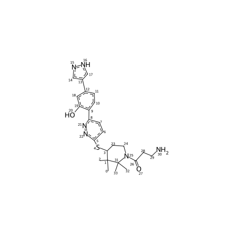 CC1(C)C(Sc2ccc(-c3ccc(-c4cn[nH]c4)cc3O)nn2)CCN(C(=O)CCN)C1(C)C